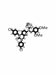 COc1ccc(CN(C(=O)OC(C)(C)C)c2ccc3c(n2)CN(c2ccc(Cl)cc2)C(=O)N3c2ccc(Cl)cc2)c(OC)c1